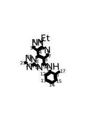 CCn1ncc2c1ncc1c(Nc3ccccc3C)nc3ncnn3c12